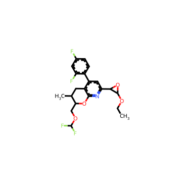 CCOC1OC1c1cc(-c2ccc(F)cc2F)c2c(n1)OC(COC(F)F)C(C)C2